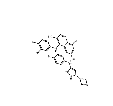 N#Cc1cnc2c(Cl)cc(N[C@H](C3=CN(C4COC4)NN3)c3ccc(F)cc3)cc2c1Nc1ccc(F)c(Cl)c1